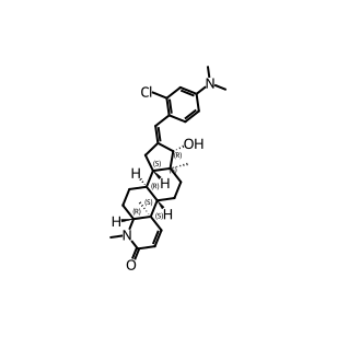 CN(C)c1ccc(C=C2C[C@H]3[C@@H]4CC[C@H]5N(C)C(=O)C=C[C@]5(C)[C@H]4CC[C@]3(C)[C@H]2O)c(Cl)c1